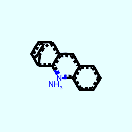 N.c1ccc2nc3c4ccc(cc4)c3cc2c1